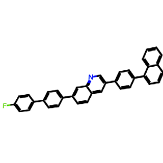 Fc1ccc(-c2ccc(-c3ccc4cc(-c5ccc(-c6cccc7ccccc67)cc5)cnc4c3)cc2)cc1